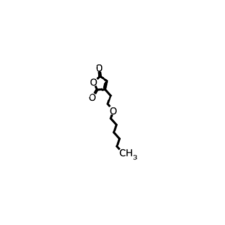 CCCCCCOCCC1=CC(=O)OC1=O